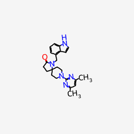 Cc1cc(C)nc(N2CCC3(CCC(=O)N3Cc3cccc4[nH]ccc34)CC2)n1